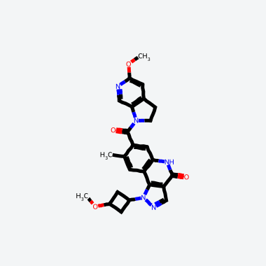 COc1cc2c(cn1)N(C(=O)c1cc3[nH]c(=O)c4cnn(C5CC(OC)C5)c4c3cc1C)CC2